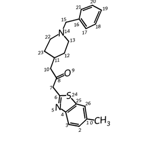 Cc1ccc2nc(CC(=O)CC3CCN(Cc4ccccc4)CC3)sc2c1